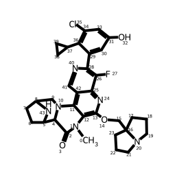 CN1C(=O)C2C3CCC(CN2c2c1c(OCC14CCCN1CCC4)nc1c(F)c(-c4cc(O)cc(Cl)c4C4CC4)ncc21)N3